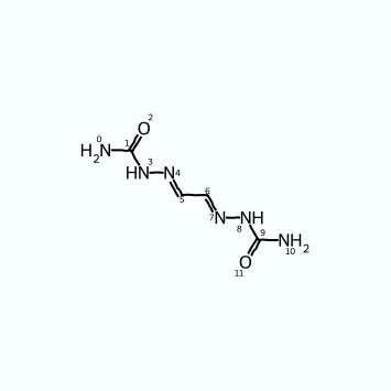 NC(=O)NN=CC=NNC(N)=O